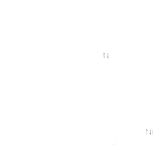 Cc1cccc(-c2cc3c(=O)[nH]ccc3cn2)c1